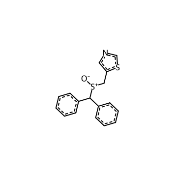 [O-][S+](Cc1cncs1)C(c1ccccc1)c1ccccc1